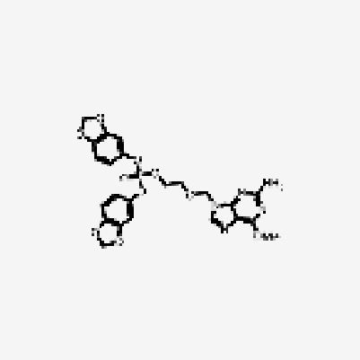 COc1nc(N)nc2c1ncn2COCCOP(=O)(Oc1ccc2c(c1)OCO2)Oc1ccc2c(c1)OCO2